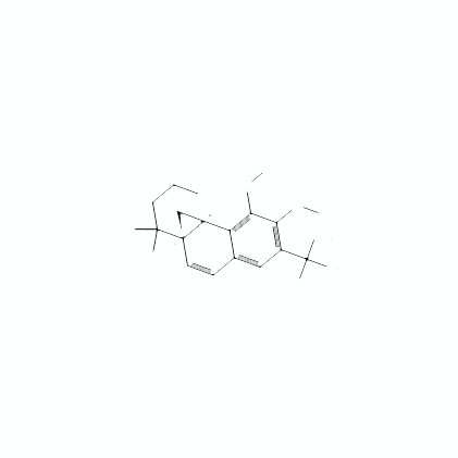 COc1c(C(C)(C)O)cc2c(c1OC)[C@@]13CCCC(C)(C)[C@]1(C=C2)C3